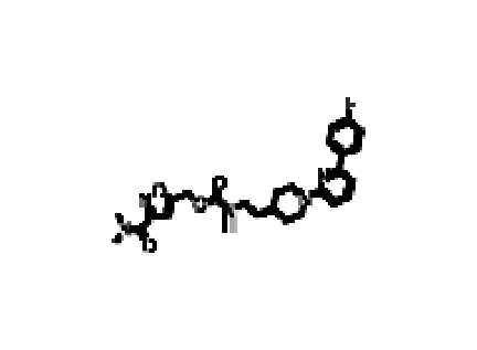 CN(C)C(=O)c1cc(COC(=O)NCCC2CCN(c3cccc(-c4ccc(F)cc4)n3)CC2)on1